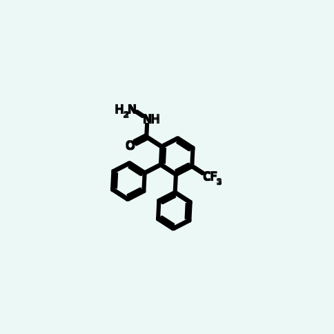 NNC(=O)c1ccc(C(F)(F)F)c(-c2ccccc2)c1-c1ccccc1